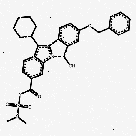 CN(C)S(=O)(=O)NC(=O)c1ccc2c(C3CCCCC3)c3n(c2c1)C(O)c1cc(OCc2ccccc2)ccc1-3